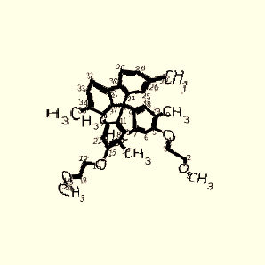 COCCOc1cc(C)c(C2(c3cc(C)c(OCCOC)cc3C)c3cc(C)ccc3-c3ccc(C)cc32)cc1C